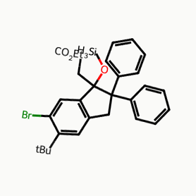 CCOC(=O)CC1(O[SiH3])c2cc(Br)c(C(C)(C)C)cc2CC1(c1ccccc1)c1ccccc1